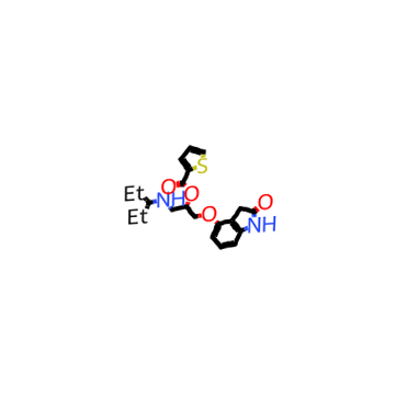 CCC(CC)NCC(COc1cccc2c1CC(=O)N2)OC(=O)c1cccs1